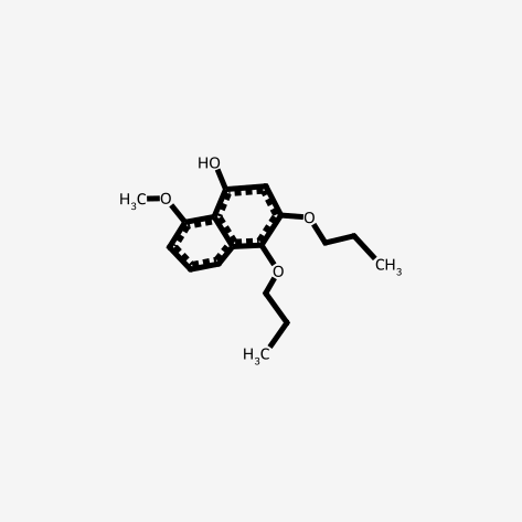 CCCOc1cc(O)c2c(OC)cccc2c1OCCC